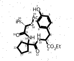 CCOC(=O)[C@H](Cc1ccc(O)cc1)NC(=O)C1(NC(=O)[C@@H](SC(C)=O)C(C)C)CCCC1